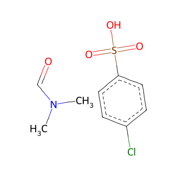 CN(C)C=O.O=S(=O)(O)c1ccc(Cl)cc1